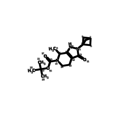 CC1c2[nH]n(C34CC(C3)C4)c(=O)c2CCN1C(=O)OC(C)(C)C